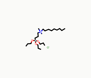 CCCCCCCCC[N+](C)(C)CCC[Si](OCCC)(OCCC)OCCC.[Cl-]